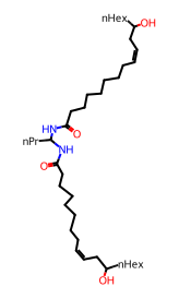 CCCCCCC(O)C/C=C\CCCCCCCC(=O)NC(CCC)NC(=O)CCCCCCC/C=C\CC(O)CCCCCC